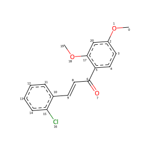 COc1ccc(C(=O)/C=C/c2ccccc2Cl)c(OC)c1